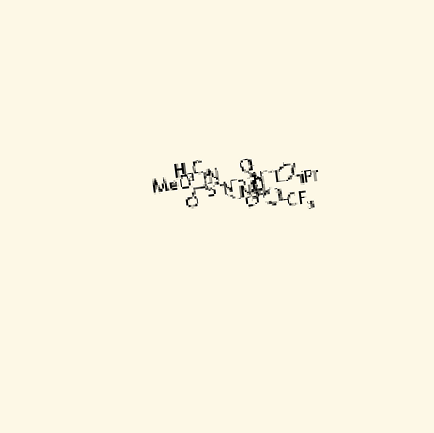 COC(=O)c1sc(N2CCN(S(=O)(=O)c3ccc(C(F)(F)F)cc3)[C@@H](C(=O)NCc3ccc(C(C)C)cc3)C2)nc1C